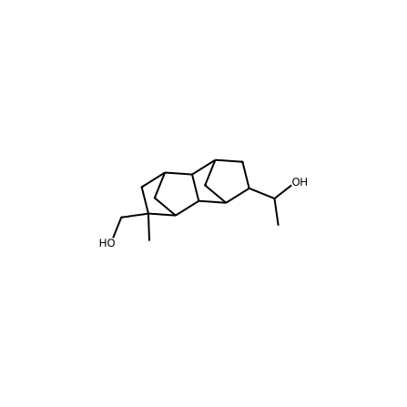 CC(O)C1CC2CC1C1C2C2CC1C(C)(CO)C2